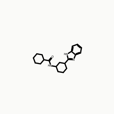 O=C(NC1CCCC(c2nc3ccccc3[nH]2)C1)C1CCCCC1